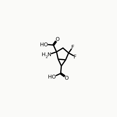 NC1(C(=O)O)CC(F)(F)C2C(C(=O)O)C21